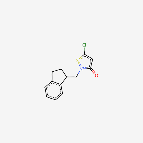 O=c1cc(Cl)sn1CC1CCc2ccccc21